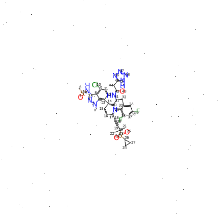 Cn1nc(N[S+](C)[O-])c2c(Cl)ccc(-c3ccc(C#CC(C)(C)S(=O)(=O)C4CC4)nc3[C@H](Cc3cc(F)cc(F)c3)NC(=O)Cc3nnn[nH]3)c21